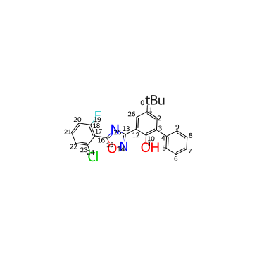 CC(C)(C)c1cc(-c2ccccc2)c(O)c(-c2noc(-c3c(F)cccc3Cl)n2)c1